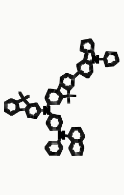 CC1(C)c2ccccc2-c2ccc(N(c3ccc(N(c4ccccc4)c4cccc5ccccc45)cc3)c3ccc4c(c3)C(C)(C)c3cc(-c5ccc6c(c5)c5ccccc5n6-c5ccccc5)ccc3-4)cc21